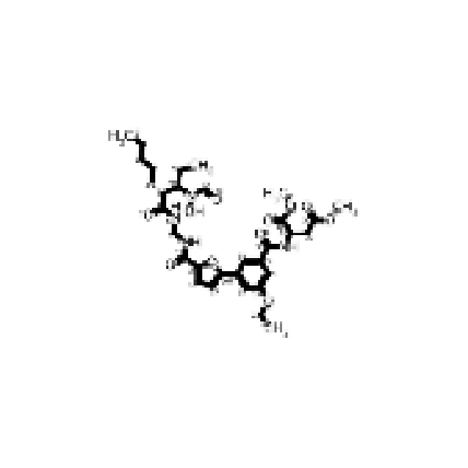 CCCCC[C@@H](C(=O)NCNC(=O)c1ccc(-c2cc(OCC)cc(C(=O)N[C@H](CC(=O)OC)C(=O)OC)c2)o1)[C@@H](CC)N(O)C=O